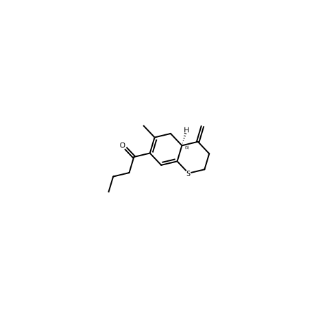 C=C1CCSC2=CC(C(=O)CCC)=C(C)C[C@@H]12